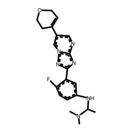 CC(Nc1ccc(F)c(-c2nc3ncc(C4=CCOCC4)cn3n2)c1)N(C)C